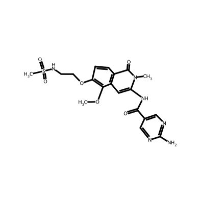 COc1c(OCCNS(C)(=O)=O)ccc2c(=O)n(C)c(NC(=O)c3cnc(N)nc3)cc12